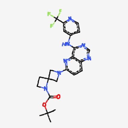 CC(C)(C)OC(=O)N1CCC12CN(c1ccc3ncnc(Nc4ccnc(C(F)(F)F)c4)c3n1)C2